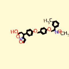 CO/N=C(/COc1ccc(COc2ccc(C(CC(=O)O)c3ccon3)cc2)cc1)c1cccc(C)c1